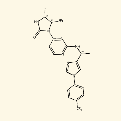 CC(C)[C@H]1[C@@H](C)NC(=O)N1c1ccnc(N[C@@H](C)c2cn(-c3ccc(C(F)(F)F)cc3)cn2)n1